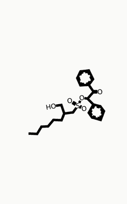 CCCCCCC(CO)CS(=O)(=O)OC(C(=O)c1ccccc1)c1ccccc1